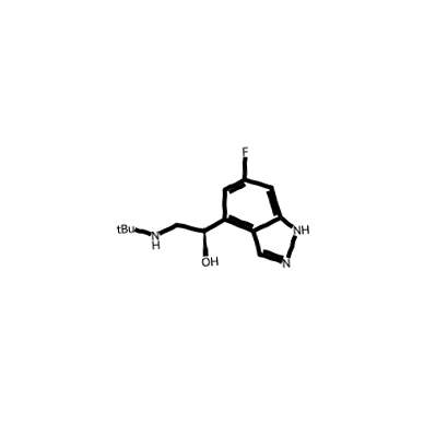 CC(C)(C)NC[C@H](O)c1cc(F)cc2[nH]ncc12